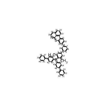 Cc1cc(-c2cccc(-c3ccc4c(c3)Sc3nccc5cccc-4c35)c2)cc(C)c1B(c1ccc(-c2ccccc2)cc1)c1ccc(-c2ccccc2)cc1